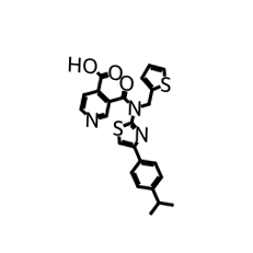 CC(C)c1ccc(-c2csc(N(Cc3cccs3)C(=O)c3cnccc3C(=O)O)n2)cc1